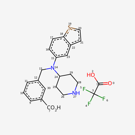 O=C(O)C(F)(F)F.O=C(O)c1cccc(CN(c2ccc3sccc3c2)C2CCNCC2)c1